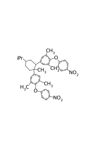 Cc1cc(C2CC(C(C)C)CCC2(C)c2cc(C)c(Oc3ccc([N+](=O)[O-])cc3)c(C)c2)cc(C)c1Oc1ccc([N+](=O)[O-])cc1